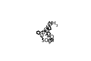 CC1=C(C(=O)OCc2ccccc2OCCS(=O)(=O)O)[C@@H](c2ccc(Cl)nc2)CC(=O)N1C[C@@H]1CCCO1.N